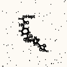 CCCCCCCC(C)C(=O)Nc1ccc(S(=O)(=O)Nc2nnc(C3OC(C)O3)s2)cc1